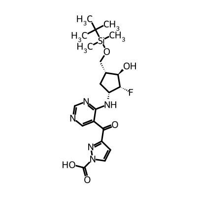 CC(C)(C)[Si](C)(C)OC[C@H]1C[C@@H](Nc2ncncc2C(=O)c2ccn(C(=O)O)n2)[C@@H](F)[C@@H]1O